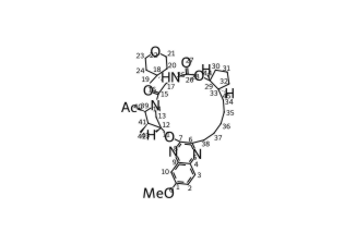 COc1ccc2nc3c(nc2c1)O[C@H]1CN(C(=O)[C@H](C2(C)CCOCC2)NC(=O)O[C@@H]2CCC[C@H]2CCCCC3)[C@H](C(C)=O)[C@@H]1C